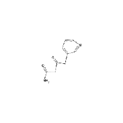 NC(=O)CC(=O)Cc1cccnc1